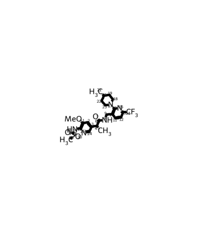 COc1cc(C(C)C(=O)NCc2ccc(C(F)(F)F)nc2N2CCC(C)CC2)cnc1NS(C)(=O)=O